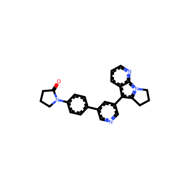 O=C1CCCN1c1ccc(-c2cncc(-c3c4n(c5ncccc35)CCC4)c2)cc1